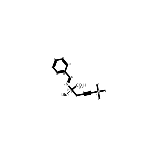 CC(C)(C)[C@](CC#C[Si](C)(C)C)(N=Cc1ccccc1)C(=O)O